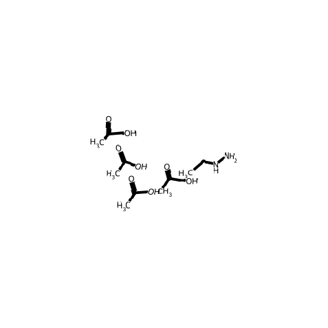 CC(=O)O.CC(=O)O.CC(=O)O.CC(=O)O.CCNN